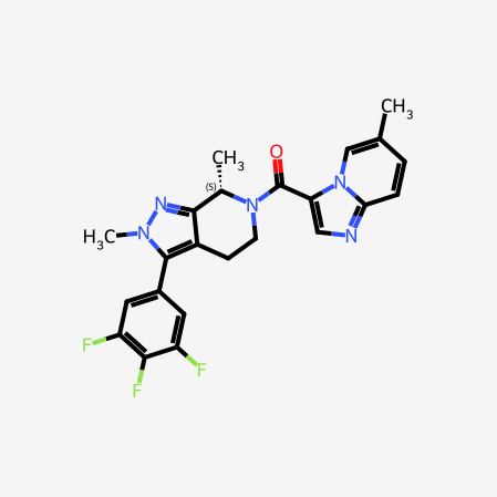 Cc1ccc2ncc(C(=O)N3CCc4c(nn(C)c4-c4cc(F)c(F)c(F)c4)[C@@H]3C)n2c1